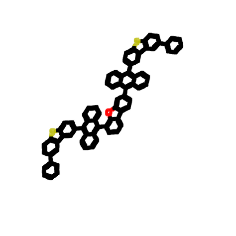 c1ccc(-c2ccc3sc4ccc(-c5c6ccccc6c(-c6ccc7c(c6)oc6c(-c8c9ccccc9c(-c9ccc%10sc%11ccc(-c%12ccccc%12)cc%11c%10c9)c9ccccc89)cccc67)c6ccccc56)cc4c3c2)cc1